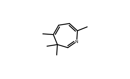 CC1=CC=C(C)C(C)(C)C=N1